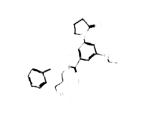 CCNc1cc(C(=O)N[C@@H](Cc2ccccc2)[C@H](O)CN)cc(N2CCCC2=O)c1